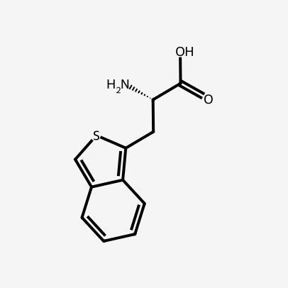 N[C@@H](Cc1scc2ccccc12)C(=O)O